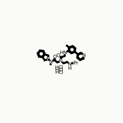 Cc1ccc(-c2cccnc2)cc1NCC(=O)N(CCNC(C)C)CC(=O)N(C)N1Cc2ccccc2C1.Cl.Cl.Cl